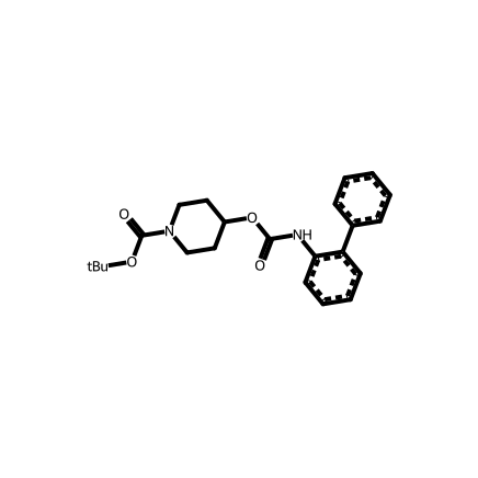 CC(C)(C)OC(=O)N1CCC(OC(=O)Nc2ccccc2-c2ccccc2)CC1